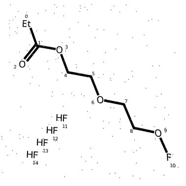 CCC(=O)OCCOCCOF.F.F.F.F